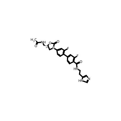 CC(=O)NC[C@H]1CN(c2ccc(-c3ccc(C(=O)NCCc4cnc[nH]4)c(F)c3)c(F)c2)C(=O)O1